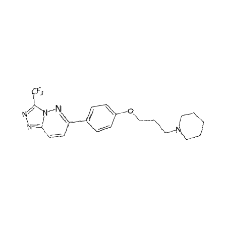 FC(F)(F)c1nnc2ccc(-c3ccc(OCCCN4CCCCC4)cc3)nn12